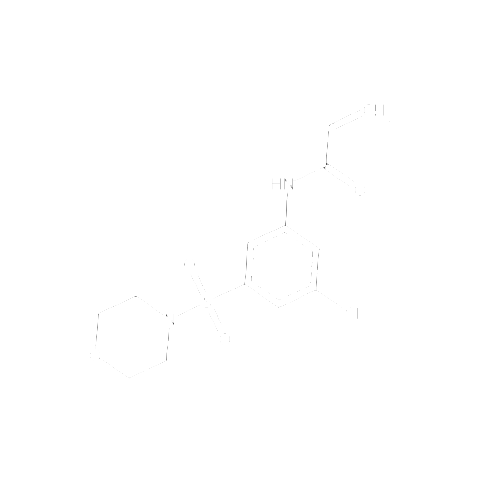 C=CC(=O)Nc1cc(C(F)(F)F)cc(S(=O)(=O)N2CCOCC2)c1